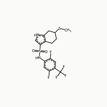 CSC1CCc2c(S(=O)(=O)Nc3cc(F)c(C(F)(F)F)cc3F)c[nH]c2C1